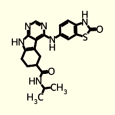 CC(C)NC(=O)C1CCc2[nH]c3ncnc(Nc4ccc5[nH]c(=O)sc5c4)c3c2C1